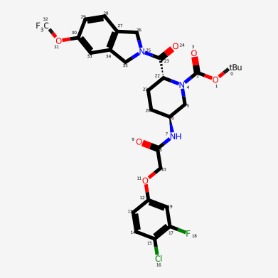 CC(C)(C)OC(=O)N1C[C@@H](NC(=O)COc2ccc(Cl)c(F)c2)CC[C@@H]1C(=O)N1Cc2ccc(OC(F)(F)F)cc2C1